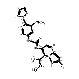 COc1cc(NC(=O)Nc2cnc3cc(Cl)nn3c2[C@H](C)OC)cnc1-n1nccn1